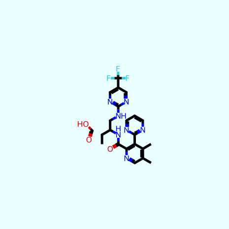 CCC(CNc1ncc(C(F)(F)F)cn1)NC(=O)c1ncc(C)c(C)c1-c1ncccn1.O=CO